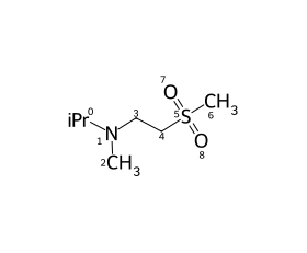 CC(C)N(C)CCS(C)(=O)=O